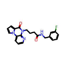 O=C(CCCn1c(=O)c2cccn2c2cccnc21)NCc1cccc(F)c1